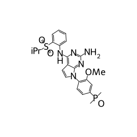 COc1cc(P(C)(C)=O)ccc1-n1ccc2c(Nc3ccccc3S(=O)(=O)C(C)C)nc(N)nc21